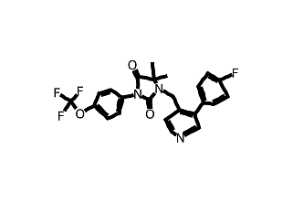 CC1(C)C(=O)N(c2ccc(OC(F)(F)F)cc2)C(=O)N1Cc1ccncc1-c1ccc(F)cc1